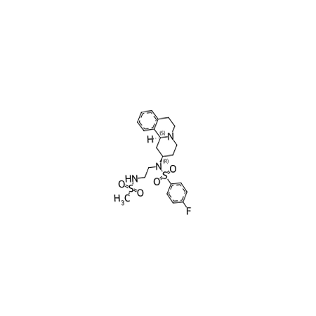 CS(=O)(=O)NCCN([C@@H]1CCN2CCc3ccccc3[C@@H]2C1)S(=O)(=O)c1ccc(F)cc1